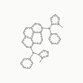 Cn1cccc1N(c1ccccc1)c1ccc2ccc3ccc(N(c4ccccc4)c4cccn4C)c4ccc1c2c34